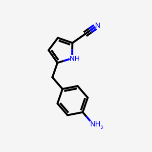 N#Cc1ccc(Cc2ccc(N)cc2)[nH]1